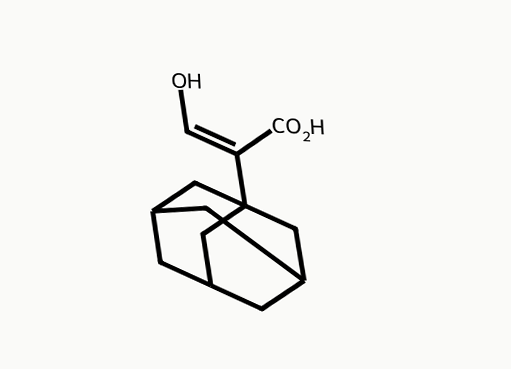 O=C(O)C(=CO)C12CC3CC(CC(C3)C1)C2